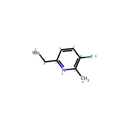 Cc1nc(CC(C)(C)C)ccc1F